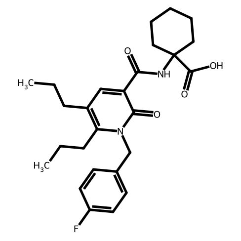 CCCc1cc(C(=O)NC2(C(=O)O)CCCCC2)c(=O)n(Cc2ccc(F)cc2)c1CCC